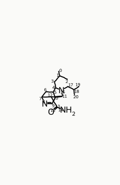 CC(C)CC1C2CC3N=CC2C(C3C(N)=O)N1CC(C)C